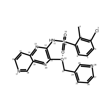 Cc1c(Cl)cccc1S(=O)(=O)Nc1nc2ccncc2nc1OCc1cccnc1